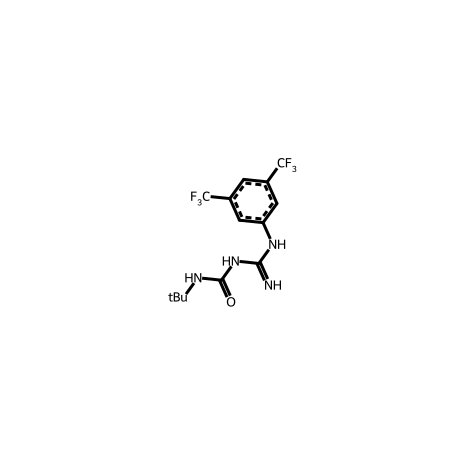 CC(C)(C)NC(=O)NC(=N)Nc1cc(C(F)(F)F)cc(C(F)(F)F)c1